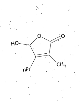 CCCC1=C(C)C(=O)OC1O